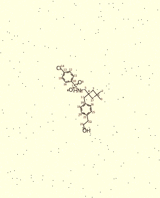 CC1(C)CC(CNS(=O)(=O)c2ccc(Cl)cc2)(Cc2ccc(CCO)cc2)C1